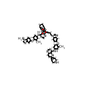 Cc1cc(Nc2ncnc3ccc(N4C5CCC4CNC5)nc23)ccc1Oc1ccc2c(c1)ncn2CCC#CC(=O)N1CC2CCC(C1)N2c1ccc2ncnc(Nc3ccc(Oc4ccc5c(c4)ncn5C)c(C)c3)c2n1